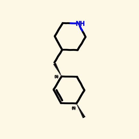 C[C@@H]1C=C[C@H](CC2CCNCC2)CC1